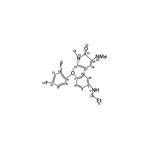 CCSNc1ccc(Oc2ccc(F)cc2F)c(-c2cc(NC)c(=O)n(C)c2)c1